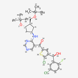 CC(C)[Si](O[C@H]1C[C@H](Nc2ncncc2C(=O)c2cc([C@@H](O)c3cc(Cl)ccc3F)c(Cl)s2)C[C@@H]1CO[Si](C)(C)C(C)(C)C)(C(C)C)C(C)C